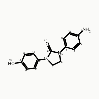 Nc1ccc(N2CCN(c3ccc(O)cc3)C2=O)cc1